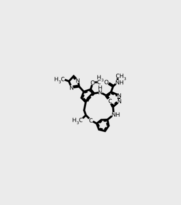 CNC(=O)c1nnc2cc1Nc1cc(cc(C3=NC(C)C=N3)c1OC)CC(C)Cc1cccc(c1)N2